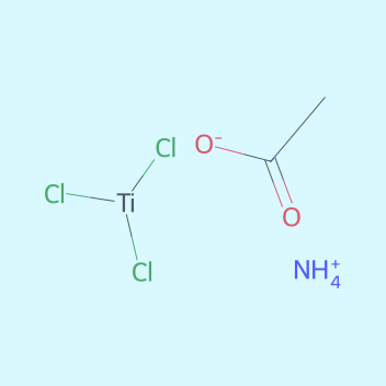 CC(=O)[O-].[Cl][Ti]([Cl])[Cl].[NH4+]